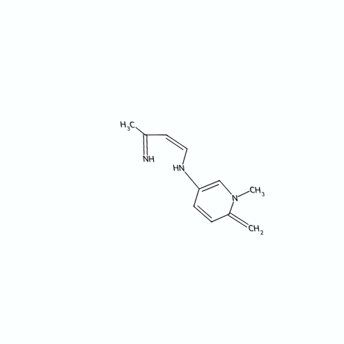 C=C1C=CC(N/C=C\C(C)=N)=CN1C